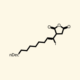 CCCCCCCCCCCCCCCCC=C(I)C1CC(=O)OC1=O